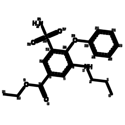 CCCNc1cc(C(=O)OCC)cc(S(N)(=O)=O)c1Oc1ccccc1